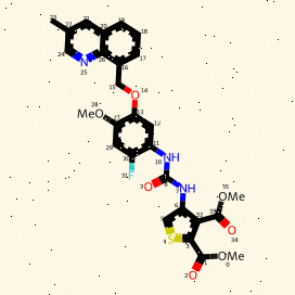 COC(=O)c1scc(NC(=O)Nc2cc(OCc3cccc4cc(C)cnc34)c(OC)cc2F)c1C(=O)OC